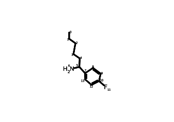 CCCCCC(N)c1ccc(F)cc1